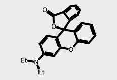 CCN(CC)c1ccc2c(c1)Oc1ccccc1C21OC(=O)c2ccccc21